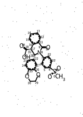 CS(=O)(=O)c1ccc(N2C(=O)c3ccccc3[C@H](C(=O)O)[C@H]2c2ccc3c(c2)OCCO3)cc1